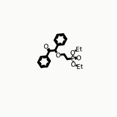 CCOP(=O)(CCOC(C(=O)c1ccccc1)c1ccccc1)OCC